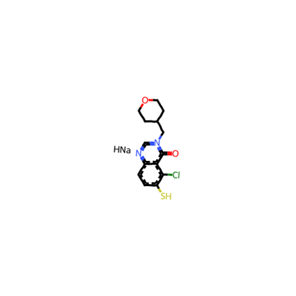 O=c1c2c(Cl)c(S)ccc2ncn1CC1CCOCC1.[NaH]